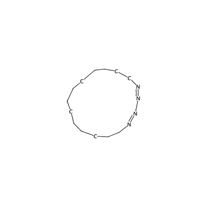 C1CCCCCCN=NN=NCCCCCC1